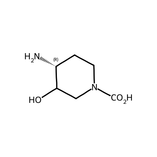 N[C@@H]1CCN(C(=O)O)CC1O